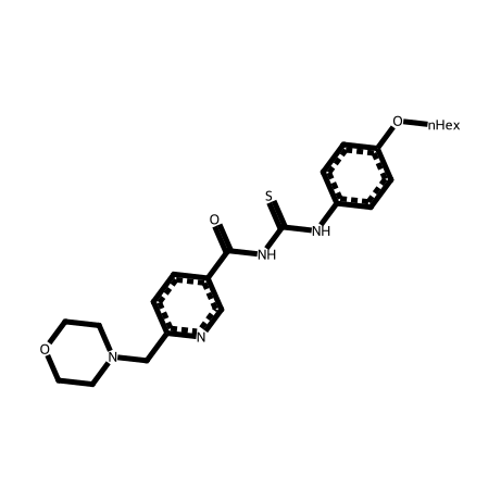 CCCCCCOc1ccc(NC(=S)NC(=O)c2ccc(CN3CCOCC3)nc2)cc1